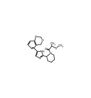 CSC(C)C(=O)N1CCCCC1c1ncc(-c2cccc3c2COCO3)[nH]1